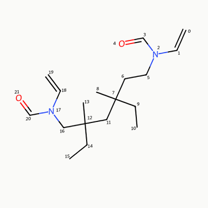 C=CN(C=O)CCC(C)(CC)CC(C)(CC)CN(C=C)C=O